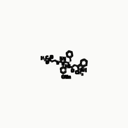 COc1ccc(-n2c(SCCS(C)(=O)=O)nnc2[C@H](Cc2ccccc2)NC(=O)Cc2c(C)[nH]c3ccccc23)cc1